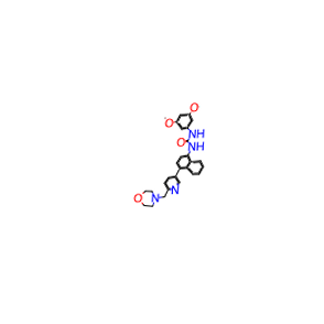 COc1cc(NC(=O)Nc2ccc(-c3ccc(CN4CCOCC4)nc3)c3ccccc23)cc(OC)c1